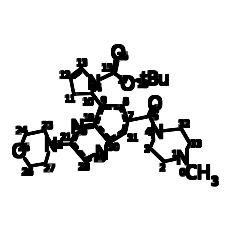 CN1CCN(C(=O)c2cc(C3CC=CN3C(=O)OC(C)(C)C)c3nc(N4CCOCC4)cnc3c2)CC1